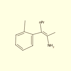 CCC/C(=C(\C)N)c1ccccc1C